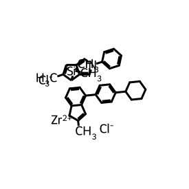 CC1=C2c3cn(-c4ccccc4)cc3C1[Si]2(C)C.CC1=Cc2c(-c3ccc(C4CCCCC4)cc3)cccc2[CH]1[Zr+2].[Cl-].[Cl-]